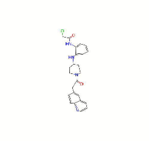 O=C(CCl)Nc1ccccc1NC1CCN(C(=O)Cc2ccc3ncccc3c2)CC1